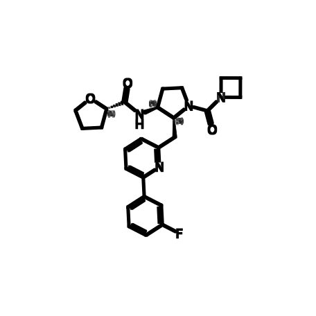 O=C(N[C@H]1CCN(C(=O)N2CCC2)[C@H]1Cc1cccc(-c2cccc(F)c2)n1)[C@@H]1CCCO1